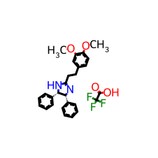 COc1ccc(CCC2=N[C@H](c3ccccc3)[C@H](c3ccccc3)N2)cc1OC.O=C(O)C(F)(F)F